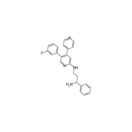 NC(CCNc1cc(-c2ccncc2)c(-c2cccc(F)c2)cn1)c1ccccc1